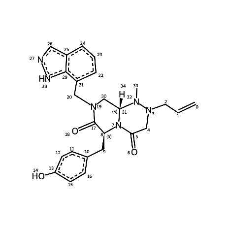 C=CCN1CC(=O)N2[C@@H](Cc3ccc(O)cc3)C(=O)N(Cc3cccc4cn[nH]c34)C[C@@H]2N1C